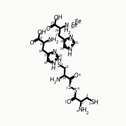 NC(CS)C(=O)SSC(=O)C(N)CS.NC(Cc1c[nH]cn1)C(=O)O.NC(Cc1c[nH]cn1)C(=O)O.[Fe].[Fe]